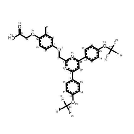 Cc1cc(OCc2nc(-c3ccc(OC(F)(F)F)cc3)cc(-c3ccc(OC(F)(F)F)cc3)n2)ccc1OCC(=O)O